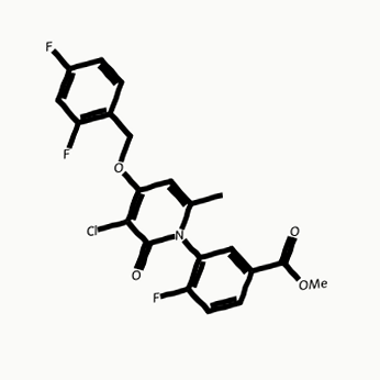 COC(=O)c1ccc(F)c(-n2c(C)cc(OCc3ccc(F)cc3F)c(Cl)c2=O)c1